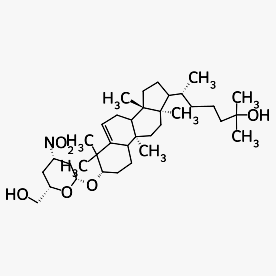 C[C@H](CCCC(C)(C)O)C1CC[C@@]2(C)C3CC=C4C(CC[C@H](O[C@H]5C[C@@H]([N+](=O)[O-])C[C@@H](CO)O5)C4(C)C)[C@]3(C)CC[C@]12C